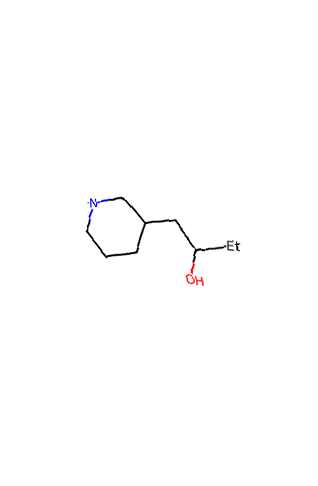 CCC(O)CC1CCC[N]C1